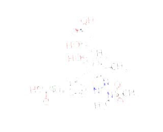 CC(C)c1nc(N(C)S(C)(=O)=O)nc(-c2ccc(F)cc2)c1/C=C/C(O)CC(O)CC(=O)O.O=C(O)F